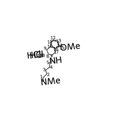 CNCCCCCNC1CCc2cccc(OC)c2C1.Cl.Cl